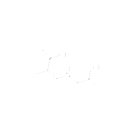 CC(=CN(Cl)CC(C)O)C(=O)O